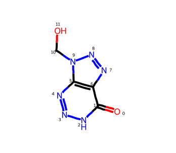 O=c1[nH]nnc2c1nnn2CO